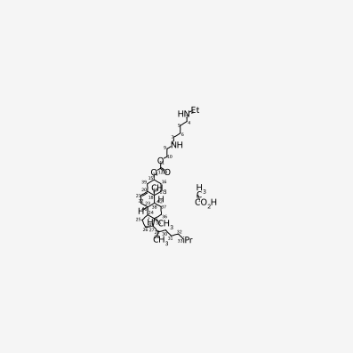 CC(=O)O.CCNCCCCNCCOC(=O)O[C@H]1CC[C@@]2(C)C(=CC[C@H]3[C@@H]4CC[C@H]([C@H](C)CCCC(C)C)[C@@]4(C)CC[C@@H]32)C1